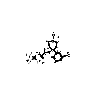 CC(C)(C)OC(=O)NC[C@]1(c2cccc(Cl)c2)CC[C@H](N)CC1